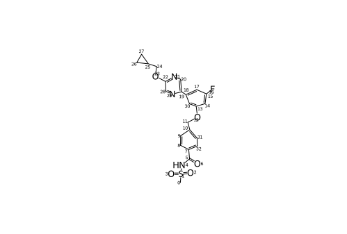 CS(=O)(=O)NC(=O)c1ccc(COc2cc(F)cc(-c3cnc(OCC4CC4)cn3)c2)cc1